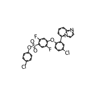 O=S(=O)(Oc1ccc(Cl)cc1)c1cc(F)c(Oc2ccc(Cl)cc2-c2cccc3nccn23)cc1F